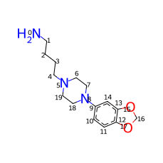 NCCCCN1CCN(c2ccc3c(c2)OCO3)CC1